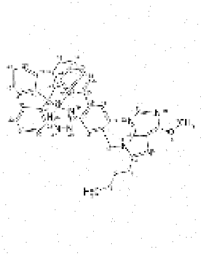 CCCCc1nc2c(OC)ncnc2n1Cc1ccc(-c2ccccc2C2(C(c3ccccc3)(c3ccccc3)c3ccccc3)N=NN=N2)cc1